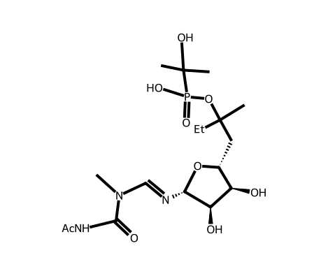 CCC(C)(C[C@H]1O[C@@H](/N=C/N(C)C(=O)NC(C)=O)[C@H](O)[C@@H]1O)OP(=O)(O)C(C)(C)O